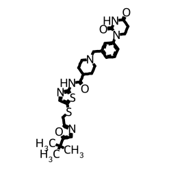 CC(C)(C)c1cnc(CSc2cnc(NC(=O)C3CCN(Cc4cccc(N5CCC(=O)NC5=O)c4)CC3)s2)o1